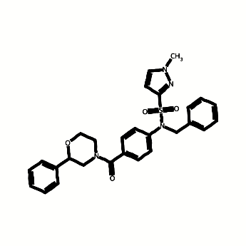 Cn1ccc(S(=O)(=O)N(Cc2ccccc2)c2ccc(C(=O)N3CCOC(c4ccccc4)C3)cc2)n1